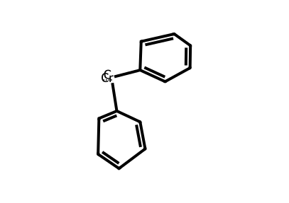 [C].c1cc[c]([Cr][c]2ccccc2)cc1